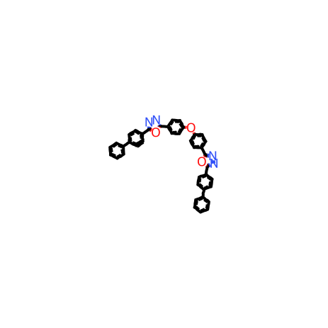 c1c(-c2ccccc2)ccc(-c2nnc(-c3ccc(Oc4ccc(-c5nnc(-c6ccc(-c7ccccc7)cc6)o5)cc4)cc3)o2)c#1